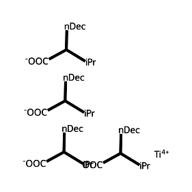 CCCCCCCCCCC(C(=O)[O-])C(C)C.CCCCCCCCCCC(C(=O)[O-])C(C)C.CCCCCCCCCCC(C(=O)[O-])C(C)C.CCCCCCCCCCC(C(=O)[O-])C(C)C.[Ti+4]